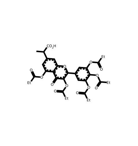 CCC(=O)Oc1cc(-c2oc3cc(C(C)C(=O)O)cc(OC(=O)CC)c3c(=O)c2OC(=O)CC)cc(OC(=O)CC)c1OC(=O)CC